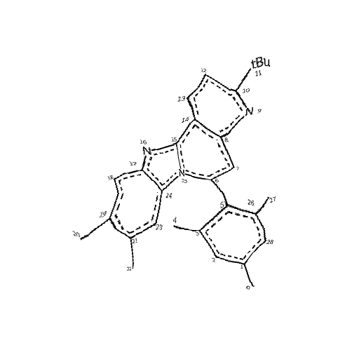 Cc1cc(C)c(-c2cc3nc(C(C)(C)C)ccc3c3nc4cc(C)c(C)cc4n23)c(C)c1